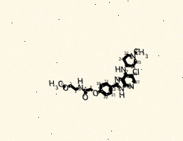 COCCNC(=O)COc1ccc(-c2nc3c(NC4CCN(C)CC4)c(Cl)cnc3[nH]2)cc1